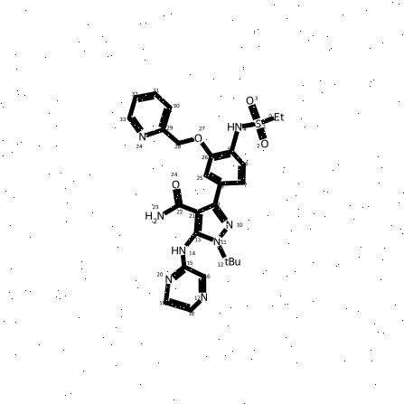 CCS(=O)(=O)Nc1ccc(-c2nn(C(C)(C)C)c(Nc3cnccn3)c2C(N)=O)cc1OCc1ccccn1